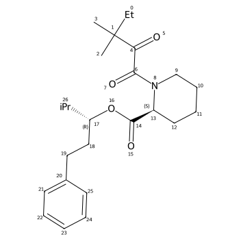 CCC(C)(C)C(=O)C(=O)N1CCCC[C@H]1C(=O)O[C@H](CCc1ccccc1)C(C)C